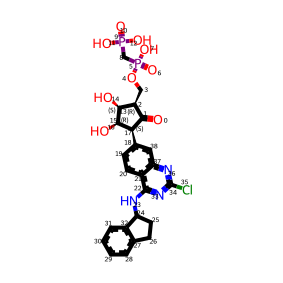 O=C1[C@H](COP(=O)(O)CP(=O)(O)O)[C@H](O)[C@H](O)[C@@H]1c1ccc2c(NC3CCc4ccccc43)nc(Cl)nc2c1